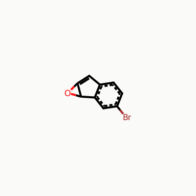 Brc1ccc2c(c1)C1OC1=C2